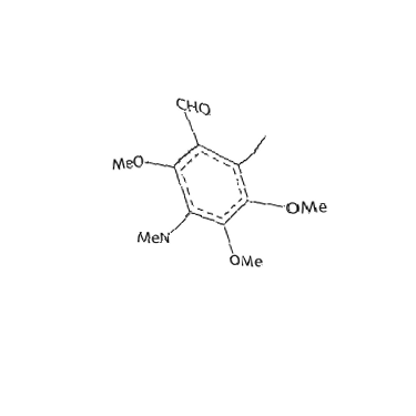 CNc1c(OC)c(C=O)c(C)c(OC)c1OC